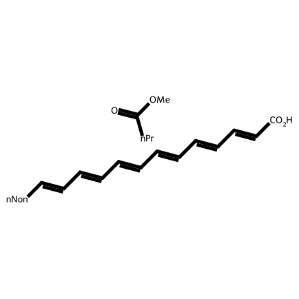 CCCC(=O)OC.CCCCCCCCCC=CC=CC=CC=CC=CC=CC(=O)O